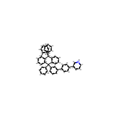 c1ccc(C2(c3cccc(-c4ccc(-c5cccnc5)cc4)c3)c3ccccc3C3(c4ccccc4)c4ccccc4-c4cccc2c43)cc1